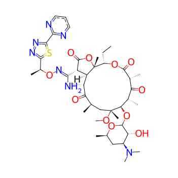 CC[C@@H]1OC(=O)[C@H](C)C(=O)[C@H](C)[C@@H](OC2O[C@H](C)C[C@H](N(C)C)[C@H]2O)[C@](C)(OC)C[C@@H](C)C(=O)[C@H](C)[C@H]2[C@H](/C(N)=N/O[C@@H](C)c3nnc(-c4ncccn4)s3)C(=O)O[C@@]21C